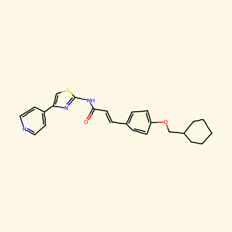 O=C(/C=C/c1ccc(OCC2CCCCC2)cc1)Nc1nc(-c2ccncc2)cs1